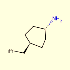 CC(C)C[C@H]1CC[C@H](N)CC1